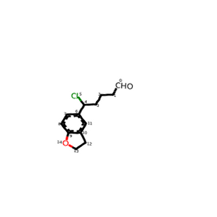 O=CCCCC(Cl)c1ccc2c(c1)CCO2